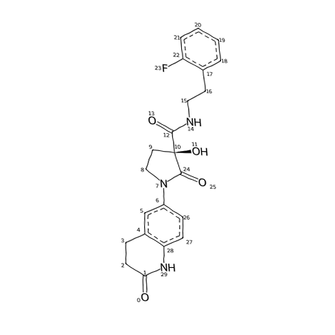 O=C1CCc2cc(N3CC[C@](O)(C(=O)NCCc4ccccc4F)C3=O)ccc2N1